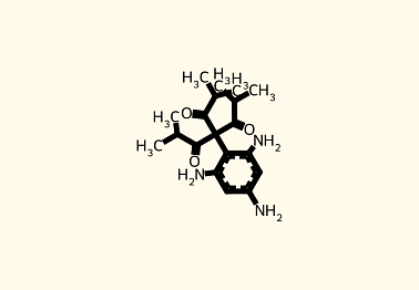 CC(C)C(=O)C(C(=O)C(C)C)(C(=O)C(C)C)c1c(N)cc(N)cc1N